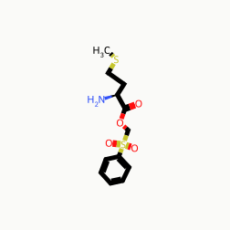 CSCC[C@H](N)C(=O)OCS(=O)(=O)c1ccccc1